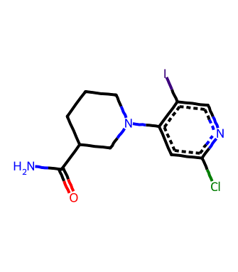 NC(=O)C1CCCN(c2cc(Cl)ncc2I)C1